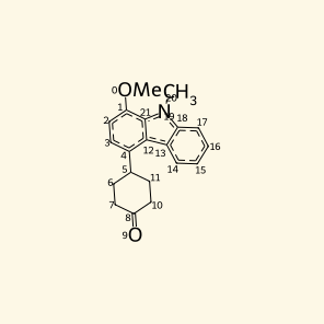 COc1ccc(C2CCC(=O)CC2)c2c3ccccc3n(C)c12